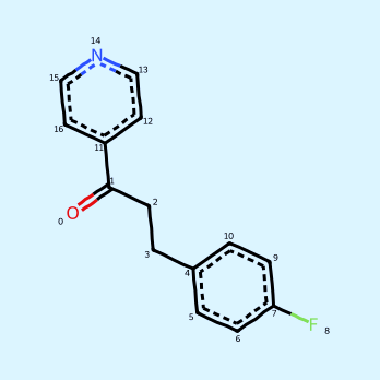 O=C(CCc1ccc(F)cc1)c1ccncc1